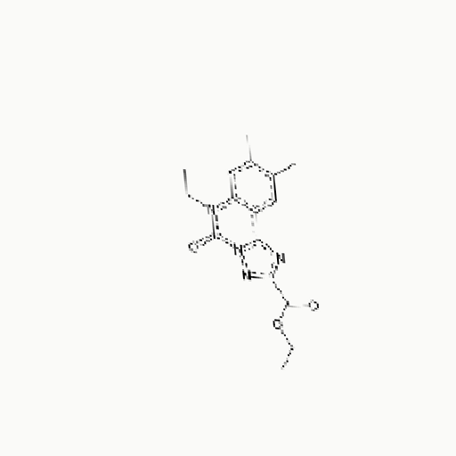 CCOC(=O)c1nc2c3cc(C)c(C)cc3n(CC)c(=O)n2n1